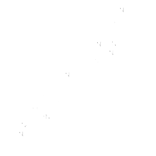 Cc1ccc2c(-c3nnc(SCCCN4CCc5cc6nc(-c7cc(C)nn7C)oc6cc5CC4)n3C)cccc2n1